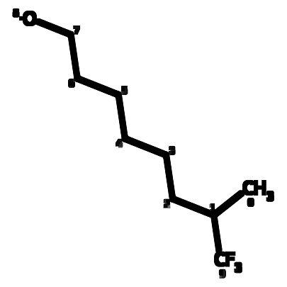 CC(CCCCCC[O])C(F)(F)F